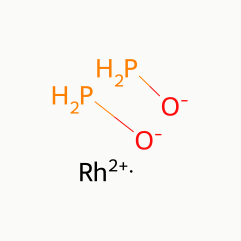 [O-]P.[O-]P.[Rh+2]